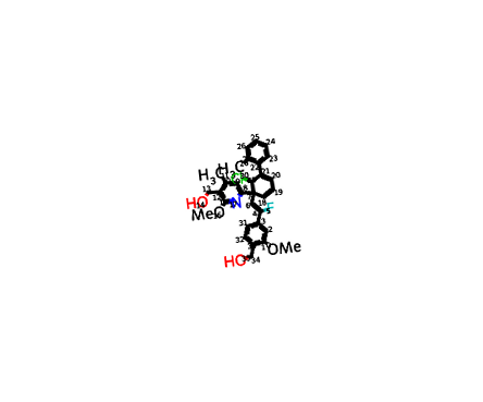 COc1cc(/C(F)=C/C2(c3cc(C)c(CO)c(OC)n3)C=CC=C(c3ccccc3C)C2Cl)ccc1CO